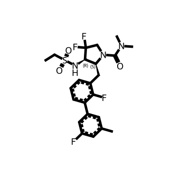 CCS(=O)(=O)N[C@@H]1[C@H](Cc2cccc(-c3cc(C)cc(F)c3)c2F)N(C(=O)N(C)C)CC1(F)F